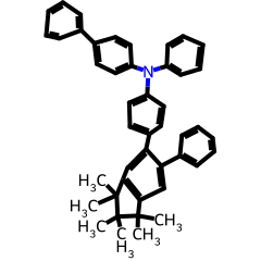 CC1(C)c2cc(-c3ccccc3)c(-c3ccc(N(c4ccccc4)c4ccc(-c5ccccc5)cc4)cc3)cc2C(C)(C)C1(C)C